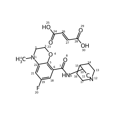 CN1CCOc2c(C(=O)NC3CN4CCC3CC4)cc(F)cc21.O=C(O)/C=C/C(=O)O